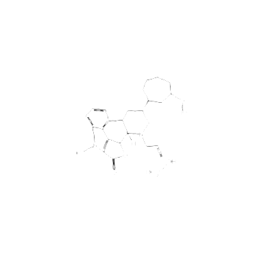 C=CCN1C[C@H](C2CCCCC(OCC)C2)CC2c3cccc4c3c3c(n4CCC)C(=O)OC3[C@H]21.O=S(=O)(O)O